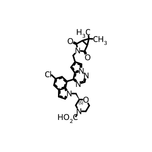 CC1(C)C2C(=O)N(Cc3cc4c(-c5cc(Cl)cc6ccn(C[C@@H]7CN(C(=O)O)CCO7)c56)ncnn4c3)C(=O)C21